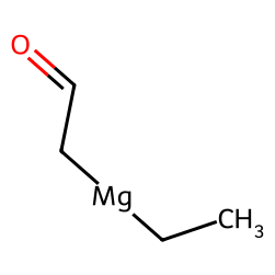 C[CH2][Mg][CH2]C=O